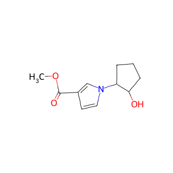 COC(=O)c1ccn(C2CCCC2O)c1